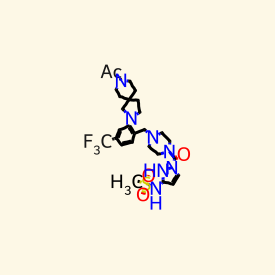 CC(=O)N1CCC2(CC1)CCN(c1cc(C(F)(F)F)ccc1CN1CCN(C(=O)N3C=CC(NS(C)(=O)=O)N3)CC1)C2